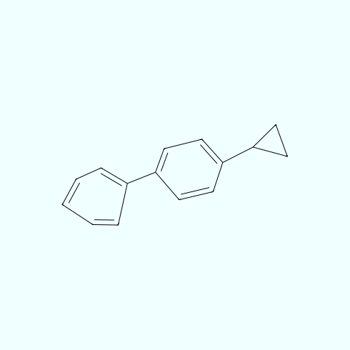 c1ccc(-c2ccc(C3CC3)cc2)cc1